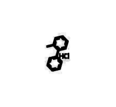 Cc1ccccc1-c1ccccc1.Cl